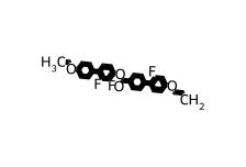 C=CCOc1ccc(C2CCC(C(=O)Oc3ccc(C4CCC(OCC)CC4)c(F)c3F)CC2)c(F)c1